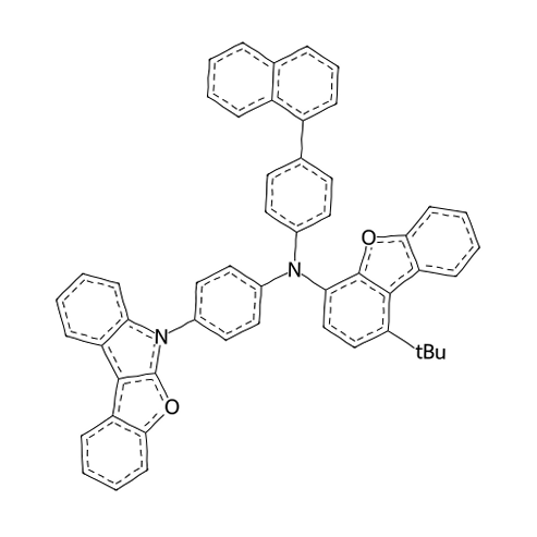 CC(C)(C)c1ccc(N(c2ccc(-c3cccc4ccccc34)cc2)c2ccc(-n3c4ccccc4c4c5ccccc5oc43)cc2)c2oc3ccccc3c12